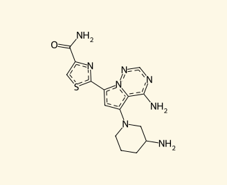 NC(=O)c1csc(-c2cc(N3CCCC(N)C3)c3c(N)ncnn23)n1